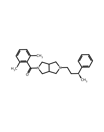 Cc1cccc(C)c1C(=O)N1CC2CN(CC[C@H](C)c3ccccc3)CC2C1